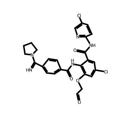 N=C(c1ccc(C(=O)Nc2c(OCC=O)cc(Cl)cc2C(=O)Nc2ccc(Cl)cn2)cc1)N1CCCC1